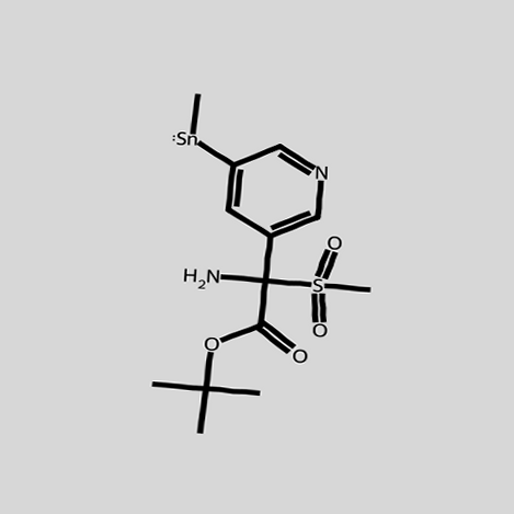 [CH3][Sn][c]1cncc(C(N)(C(=O)OC(C)(C)C)S(C)(=O)=O)c1